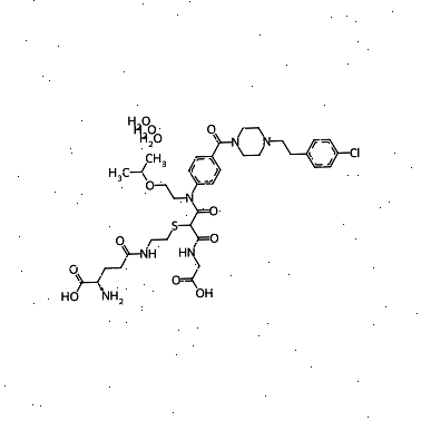 CC(C)OCCN(C(=O)C(SCCNC(=O)CC[C@@H](N)C(=O)O)C(=O)NCC(=O)O)c1ccc(C(=O)N2CCN(CCc3ccc(Cl)cc3)CC2)cc1.O.O.O